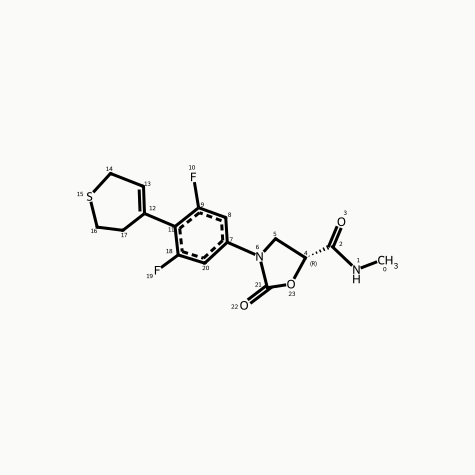 CNC(=O)[C@H]1CN(c2cc(F)c(C3=CCSCC3)c(F)c2)C(=O)O1